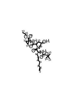 C=CCCCCC[C@H](NC(=O)OC(C)(C)C)C(=O)N1C[C@H](O)C[C@H]1C(=O)NC1(C(=O)OCC)CC1